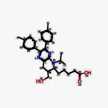 Cc1ccc(-c2nc3c(nc2-c2ccc(C)cc2)N(C(C)C)C(CCCCC(=O)O)C(CO)C3)cc1